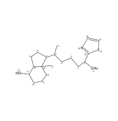 CC(=O)OC(CCCC(C)C1CCC2C(O)CCCC12C)c1nccs1